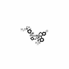 CN(C)c1ccc(S(=O)(=O)N[C@H]2CC[C@@H]2CNS(=O)(=O)c2c(N)cccc2C2NCCc3cc(Cl)ccc32)cc1